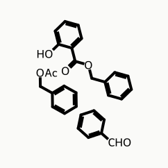 CC(=O)OCc1ccccc1.O=C(OCc1ccccc1)c1ccccc1O.O=Cc1ccccc1